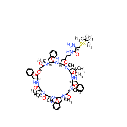 CC(C)CC1C(=O)N[C@@H](Cc2ccccc2)C(=O)N(C)CC(=O)N(C)[C@@H](Cc2ccccc2)C(=O)N[C@@H](C)C(=O)N(C)[C@@H](C)C(=O)N[C@@H](Cc2ccccc2)C(=O)OCC(=O)N(C)[C@@H](Cc2ccccc2)C(=O)N[C@@H](CCCCNC(=O)[C@@H](N)CSSC(C)(C)C)C(=O)N1C